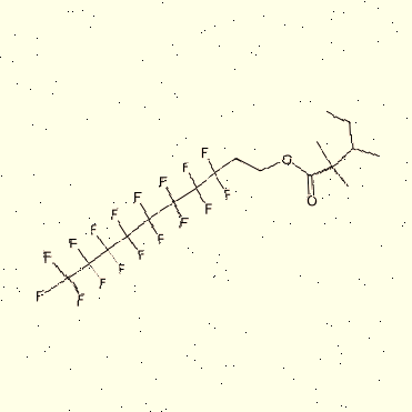 CCC(C)C(C)(C)C(=O)OCCC(F)(F)C(F)(F)C(F)(F)C(F)(F)C(F)(F)C(F)(F)C(F)(F)C(F)(F)F